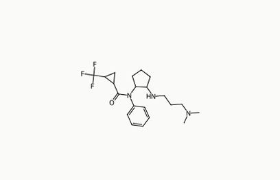 CN(C)CCCNC1CCCC1N(C(=O)C1CC1C(F)(F)F)c1ccccc1